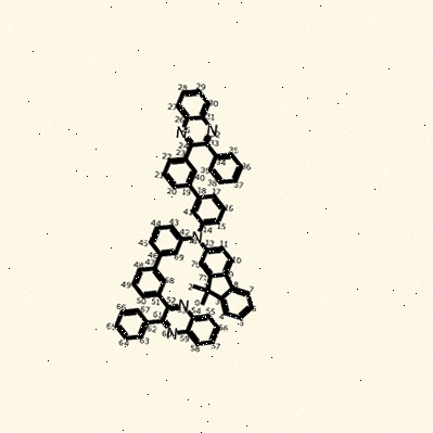 CC1(C)c2ccccc2-c2ccc(N(c3cccc(-c4cccc(-c5nc6ccccc6nc5-c5ccccc5)c4)c3)c3cccc(-c4cccc(-c5nc6ccccc6nc5-c5ccccc5)c4)c3)cc21